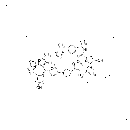 Cc1ncsc1-c1ccc([C@H](C)NC(=O)[C@@H]2C[C@@H](O)CN2C(=O)[C@@H](NC(=O)C2CCN(c3ccc(C4=N[C@@H](CC(=O)O)c5nnc(C)n5-c5sc(C)c(C)c54)cc3)C2)C(C)(C)C)cc1